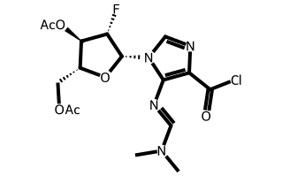 CC(=O)OC[C@H]1O[C@@H](n2cnc(C(=O)Cl)c2N=CN(C)C)[C@@H](F)[C@@H]1OC(C)=O